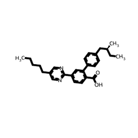 CCCCCc1cnc(-c2ccc(C(=O)O)c(-c3ccc(C[C@@H](C)CC)cc3)c2)nc1